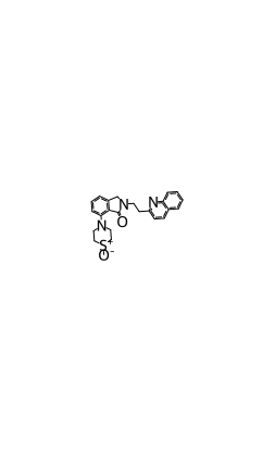 O=C1c2c(cccc2N2CC[S+]([O-])CC2)CN1CCc1ccc2ccccc2n1